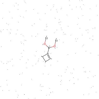 CCOB(OCC)C1=CCC1